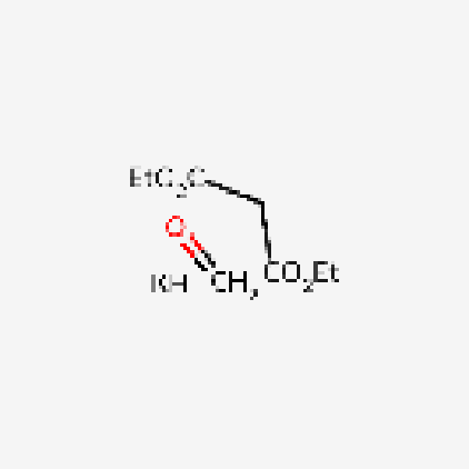 C=O.CCOC(=O)CC(=O)OCC.[KH]